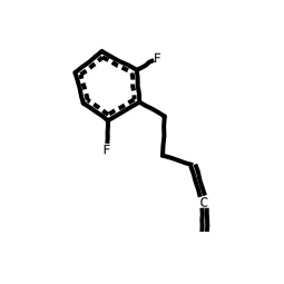 C=C=CCCc1c(F)cccc1F